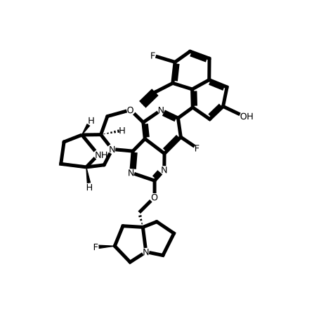 C#Cc1c(F)ccc2cc(O)cc(-c3nc4c5c(nc(OC[C@]67CCCN6C[C@@H](F)C7)nc5c3F)N3C[C@@H]5CC[C@@H](N5)[C@H]3CO4)c12